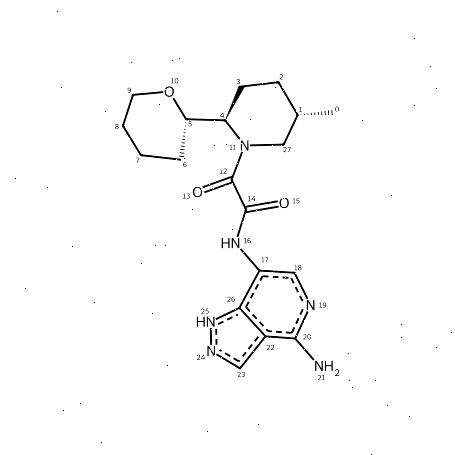 C[C@H]1CC[C@H]([C@@H]2CCCCO2)N(C(=O)C(=O)Nc2cnc(N)c3cn[nH]c23)C1